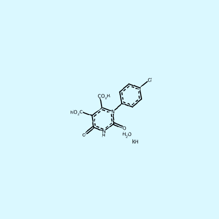 O.O=C(O)c1c(C(=O)O)n(-c2ccc(Cl)cc2)c(=O)[nH]c1=O.[KH]